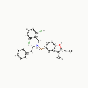 Cc1c(C(=O)O)oc2ccc(SN(CCc3ccccc3)Cc3c(F)cccc3F)cc12